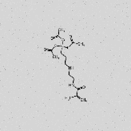 C=C(C)C(=O)NCCNCCC[Si](OC(C)=O)(OC(C)=O)OC(C)=O